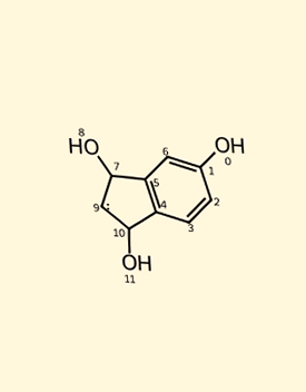 Oc1ccc2c(c1)C(O)[C]C2O